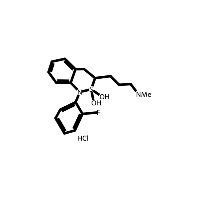 CNCCCC1Cc2ccccc2N(c2ccccc2F)S1(O)O.Cl